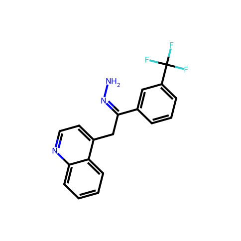 NN=C(Cc1ccnc2ccccc12)c1cccc(C(F)(F)F)c1